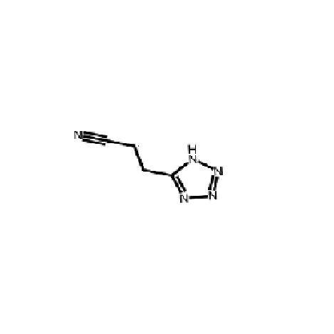 N#C[CH]Cc1nnn[nH]1